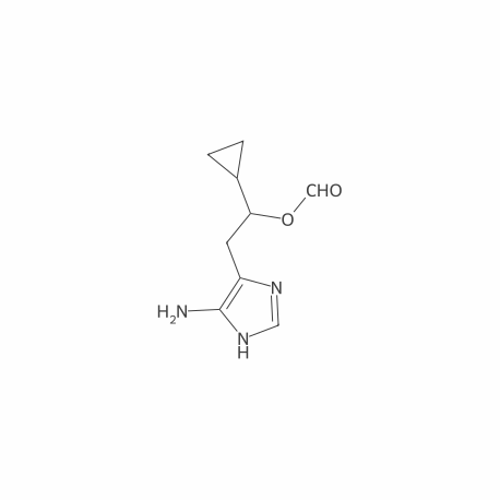 Nc1[nH]cnc1CC(OC=O)C1CC1